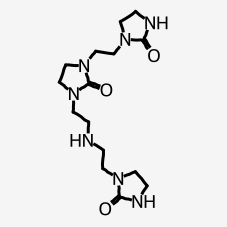 O=C1NCCN1CCNCCN1CCN(CCN2CCNC2=O)C1=O